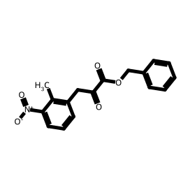 Cc1c(CC(=O)C(=O)OCc2ccccc2)cccc1[N+](=O)[O-]